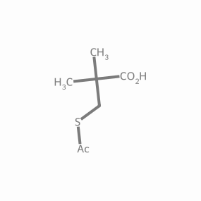 CC(=O)SCC(C)(C)C(=O)O